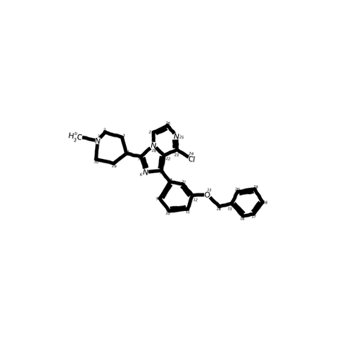 CN1CCC(c2nc(-c3cccc(OCc4ccccc4)c3)c3c(Cl)nccn23)CC1